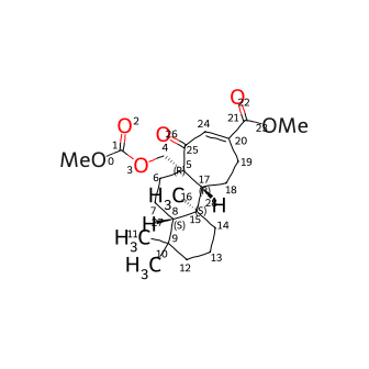 COC(=O)OC[C@@]12CC[C@H]3C(C)(C)CCC[C@]3(C)[C@H]1CCC(C(=O)OC)=CC2=O